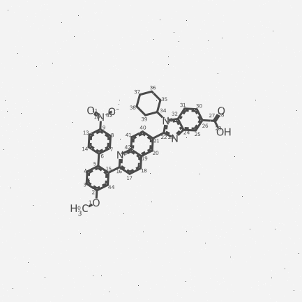 COc1ccc(-c2ccc([N+](=O)[O-])cc2)c(-c2ccc3cc(-c4nc5cc(C(=O)O)ccc5n4C4CCCCC4)ccc3n2)c1